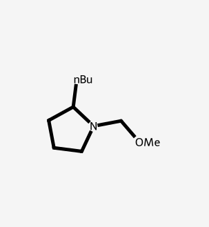 CCCCC1CCCN1COC